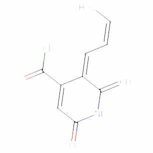 C=c1[nH]c(=O)cc(C(=O)Cl)/c1=C/C=C\C